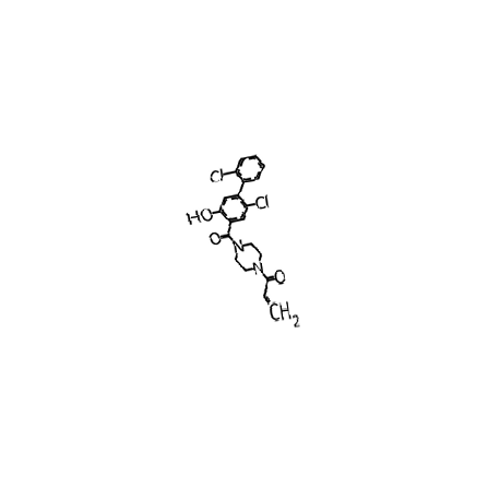 C=CC(=O)N1CCN(C(=O)c2cc(Cl)c(-c3ccccc3Cl)cc2O)CC1